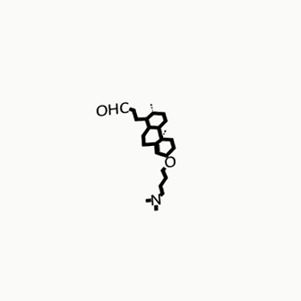 C[C@@H]1CCC2C(CCC3=C[C@@H](OCCCCN(C)C)CC[C@@]32C)C1CCC=O